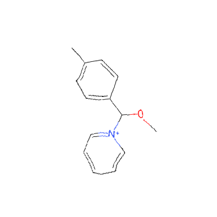 COC(c1ccc(C)cc1)[n+]1ccccc1